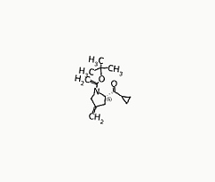 C=C1C[C@@H](C(=O)C2CC2)N(C(=C)OC(C)(C)C)C1